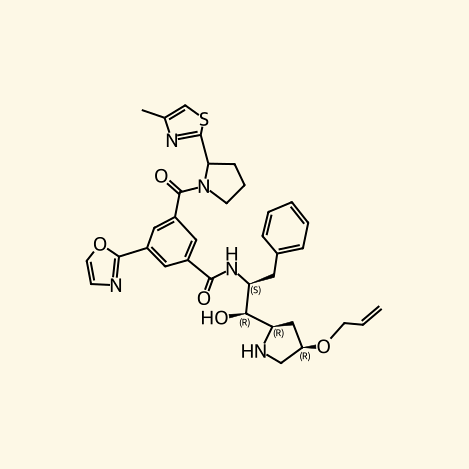 C=CCO[C@H]1CN[C@@H]([C@@H](O)[C@H](Cc2ccccc2)NC(=O)c2cc(C(=O)N3CCCC3c3nc(C)cs3)cc(-c3ncco3)c2)C1